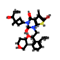 COC(=O)C1(C)CC(n2c(=O)c3c(C)c(Br)sc3n(C[C@H](OC3CCOCC3)c3ccccc3OC)c2=O)C1